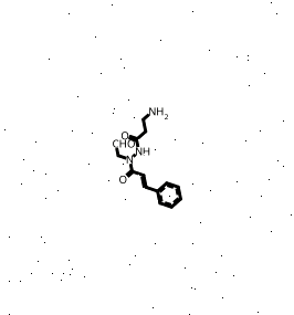 NCCC(=O)NN(C[C]=O)C(=O)C=Cc1ccccc1